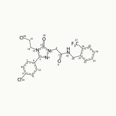 O=C(Cn1nc(-c2ccc(Cl)cc2)n(CCCl)c1=O)NCc1ccccc1C(F)(F)F